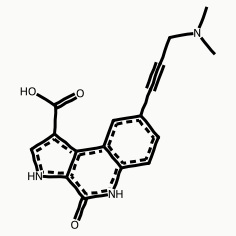 CN(C)CC#Cc1ccc2[nH]c(=O)c3[nH]cc(C(=O)O)c3c2c1